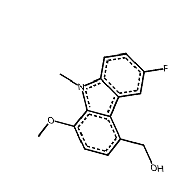 COc1ccc(CO)c2c3cc(F)ccc3n(C)c12